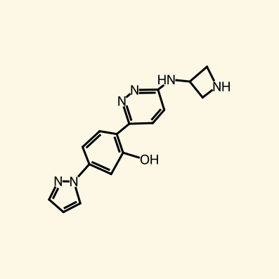 Oc1cc(-n2cccn2)ccc1-c1ccc(NC2CNC2)nn1